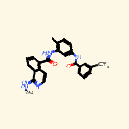 Cc1ccc(NC(=O)c2cccc(C(F)(F)F)c2)cc1NC(=O)c1cccc2c(NC(C)(C)C)nccc12